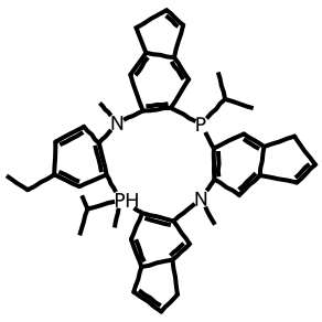 CCc1ccc2c(c1)[PH](C)(C(C)C)c1cc3c(cc1N(C)c1cc4c(cc1P(C(C)C)c1cc5c(cc1N2C)CC=C5)CC=C4)CC=C3